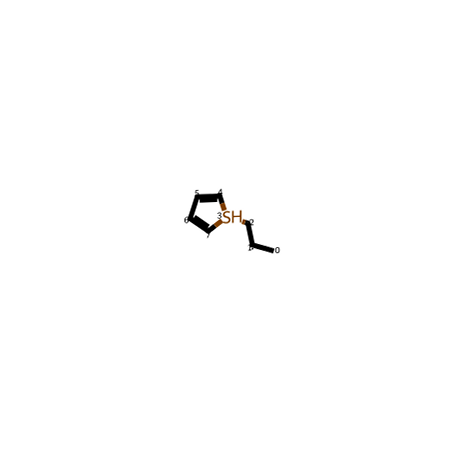 C[CH]C[SH]1C=CC=C1